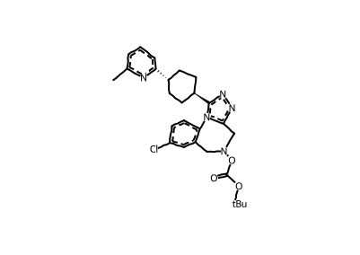 Cc1cccc([C@H]2CC[C@H](c3nnc4n3-c3ccc(Cl)cc3CN(OC(=O)OC(C)(C)C)C4)CC2)n1